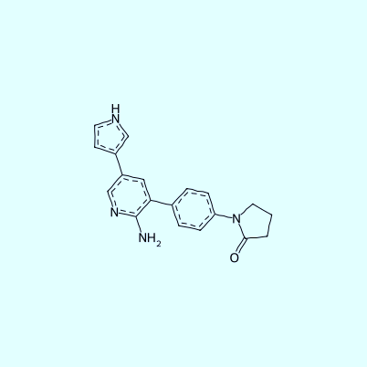 Nc1ncc(-c2cc[nH]c2)cc1-c1ccc(N2CCCC2=O)cc1